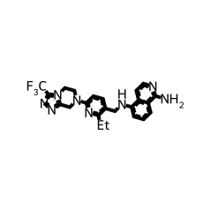 CCc1nc(N2CCn3c(nnc3C(F)(F)F)C2)ccc1CNc1cccc2c(N)nccc12